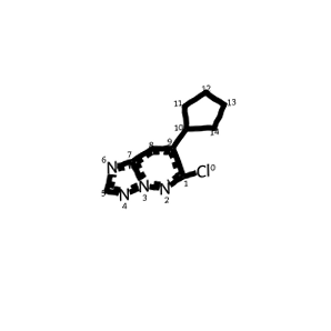 Clc1nn2ncnc2cc1C1CCCC1